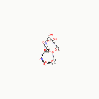 C#CC[C@H](/C=C/C(C)=C/[C@@H](O)[C@H]1C[C@@H](CO)C[C@@](O)(Cc2nc(/C=C(\C)[C@@H]3O[C@@H]4C/C=C/C5=NC(CO5)[C@H]5OCC[C@@H](C[C@H]6CC(=C)C[C@H](C/C=C\C(=O)O[C@@H]([C@H]4C)[C@H]3C)O6)O5)co2)O1)CO